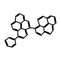 c1ccc(-c2ccc3c(-c4ccc5ccc6cccc7ccc4c5c67)cc4cccc5ccc2c3c54)cc1